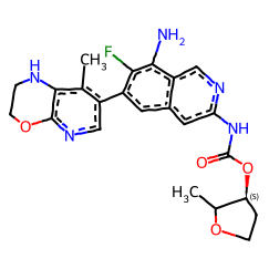 Cc1c(-c2cc3cc(NC(=O)O[C@H]4CCOC4C)ncc3c(N)c2F)cnc2c1NCCO2